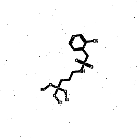 CCO[Si](CCCNS(=O)(=O)Cc1ccccc1C#N)(OCC)OCC